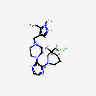 Cc1c(CN2CCN(c3nccnc3N3CCCC(C)(C)C3)CC2)cnn1C.Cl